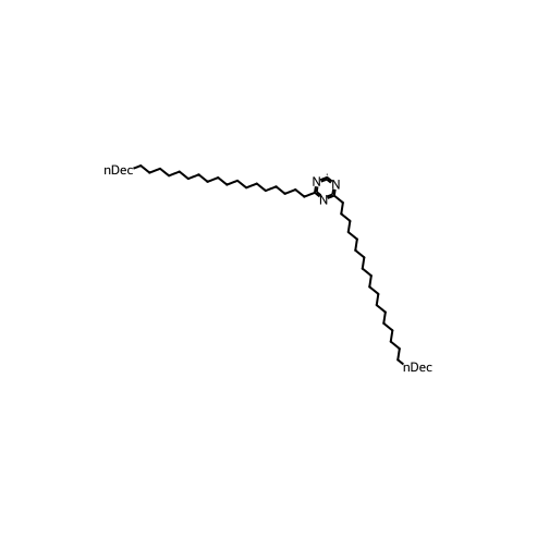 CCCCCCCCCCCCCCCCCCCCCCCCCCCCc1n[c]nc(CCCCCCCCCCCCCCCCCCCCCCCCCCCC)n1